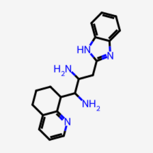 NC(Cc1nc2ccccc2[nH]1)C(N)C1CCCc2cccnc21